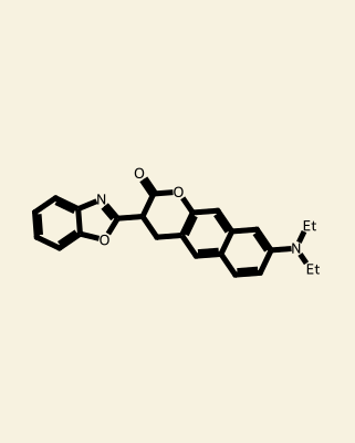 CCN(CC)c1ccc2cc3c(cc2c1)OC(=O)C(c1nc2ccccc2o1)C3